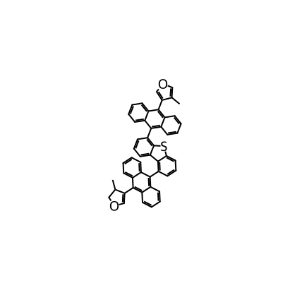 Cc1cocc1-c1c2ccccc2c(-c2cccc3c2sc2cccc(-c4c5ccccc5c(C5=COCC5C)c5ccccc45)c23)c2ccccc12